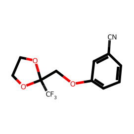 N#Cc1cccc(OCC2(C(F)(F)F)OCCO2)c1